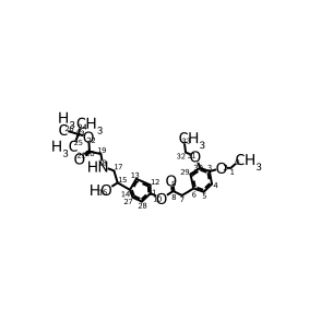 CCOc1ccc(CC(=O)Oc2ccc(C(O)CNCC(=O)OC(C)(C)C)cc2)cc1OCC